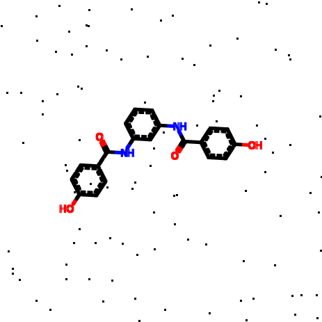 O=C(Nc1cccc(NC(=O)c2ccc(O)cc2)c1)c1ccc(O)cc1